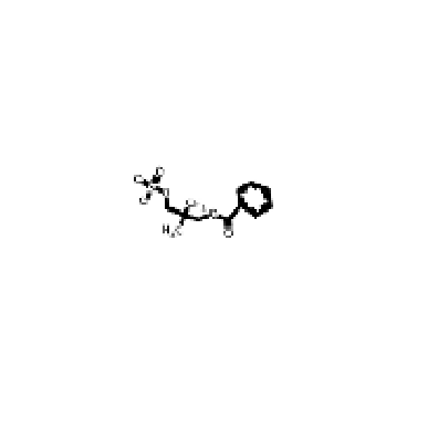 CC(C)(COC(=O)c1ccccc1)COS(=O)(=O)Cl